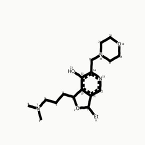 CCC1OC(CCCN(C)C)c2c1cnc(CN1CCOCC1)c2O